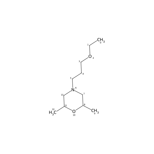 CCOCCCN1CC(C)OC(C)C1